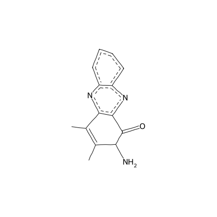 CC1=C(C)C(N)C(=O)c2nc3ccccc3nc21